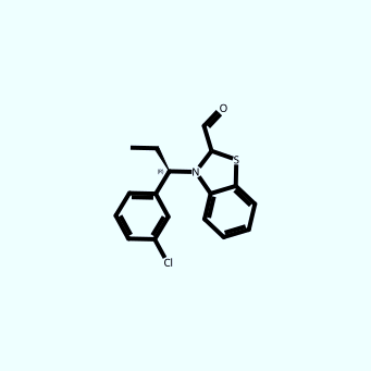 CC[C@H](c1cccc(Cl)c1)N1c2ccccc2SC1C=O